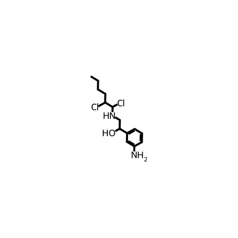 CCCCC(Cl)C(Cl)NCC(O)c1cccc(N)c1